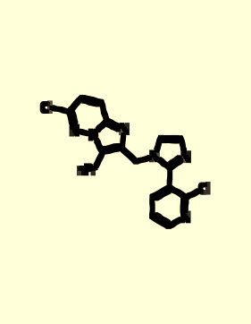 CCCc1c(Cn2ccnc2-c2cccnc2Cl)nc2ccc(Cl)nn12